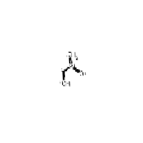 C=P(=O)CO